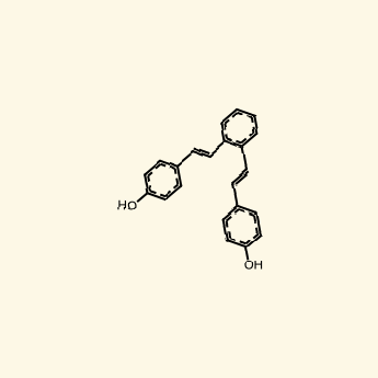 Oc1ccc(C=Cc2ccccc2C=Cc2ccc(O)cc2)cc1